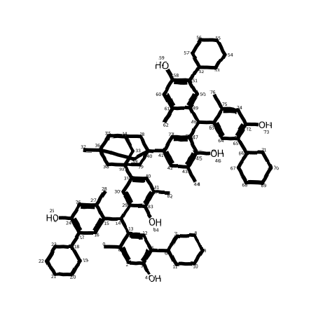 Cc1cc(O)c(C2CCCCC2)cc1C(c1cc(C2CCCCC2)c(O)cc1C)c1cc(C23CC4CC(C)(C2)CC(c2cc(C)c(O)c(C(c5cc(C6CCCCC6)c(O)cc5C)c5cc(C6CCCCC6)c(O)cc5C)c2)(C4)C3)cc(C)c1O